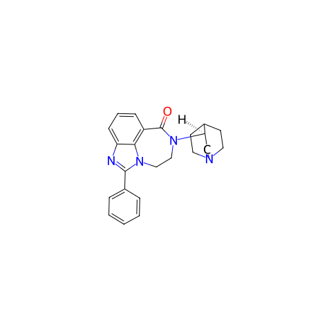 O=C1c2cccc3nc(-c4ccccc4)n(c23)CCN1[C@@H]1CN2CCC1CC2